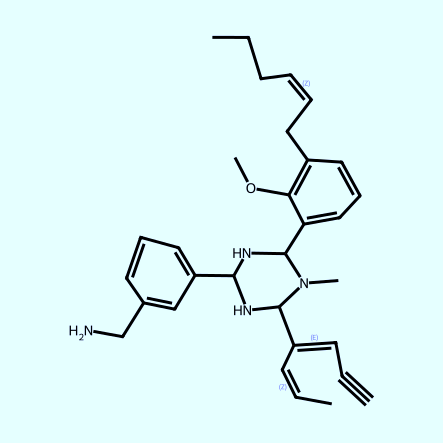 C#C/C=C(\C=C/C)C1NC(c2cccc(CN)c2)NC(c2cccc(C/C=C\CCC)c2OC)N1C